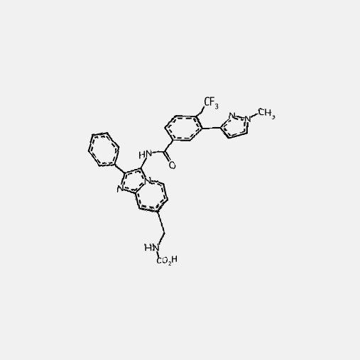 Cn1ccc(-c2cc(C(=O)Nc3c(-c4ccccc4)nc4cc(CNC(=O)O)ccn34)ccc2C(F)(F)F)n1